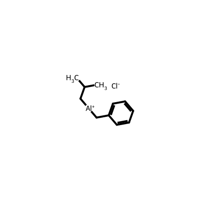 CC(C)[CH2][Al+][CH2]c1ccccc1.[Cl-]